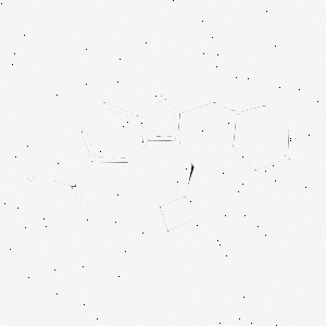 COC(=O)c1ccc2nc(CN3CCNCC3)n(C[C@@H]3CCO3)c2c1